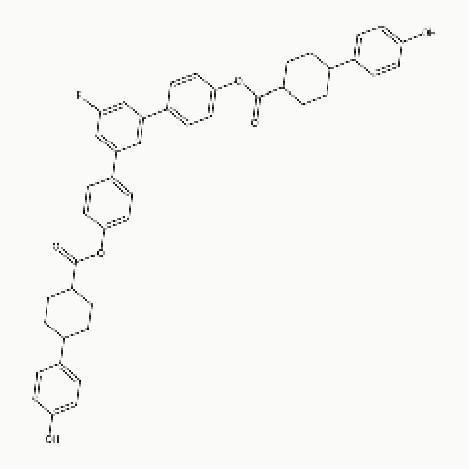 O=C(Oc1ccc(-c2cc(F)cc(-c3ccc(OC(=O)C4CCC(c5ccc(O)cc5)CC4)cc3)c2)cc1)C1CCC(c2ccc(O)cc2)CC1